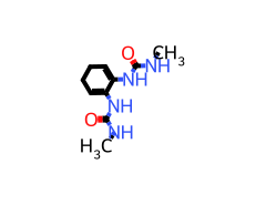 CNC(=O)NC1=CCCC=C1NC(=O)NC